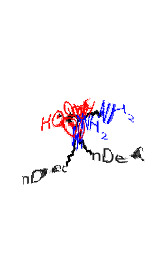 CCCCCCCCCCCCCCCCCCN(C(=O)CCCCCCCCCCCCCCCCC)[C@@H]1O[C@H](CO)[C@@H](O)[C@H](O)[C@H]1NC(=O)[C@@H](N)CCCCN